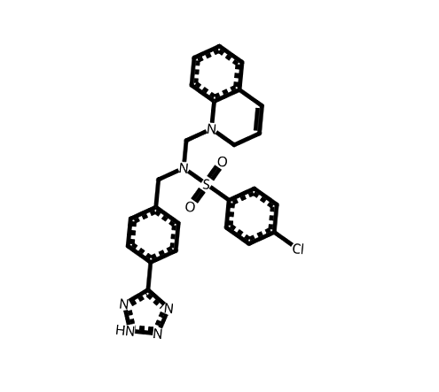 O=S(=O)(c1ccc(Cl)cc1)N(Cc1ccc(-c2nn[nH]n2)cc1)CN1CC=Cc2ccccc21